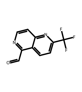 O=Cc1nccc2nc(C(F)(F)F)ccc12